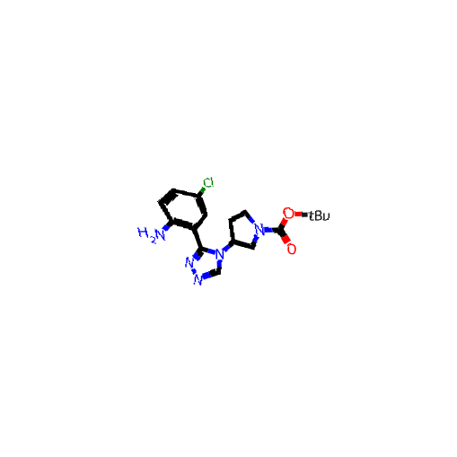 CC(C)(C)OC(=O)N1CCC(n2cnnc2-c2cc(Cl)ccc2N)C1